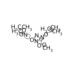 COC(=O)c1cn(COCC[Si](C)(C)C)c2ncc(OC3CCN(C(=O)OC(C)(C)C)CC3)nc12